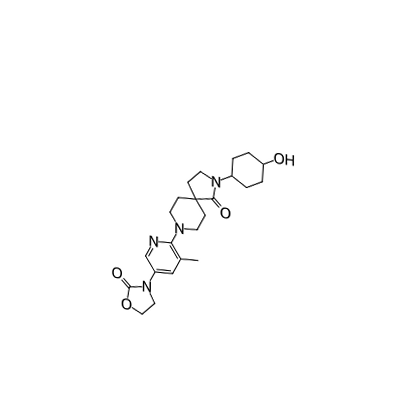 Cc1cc(N2CCOC2=O)cnc1N1CCC2(CC1)CCN(C1CCC(O)CC1)C2=O